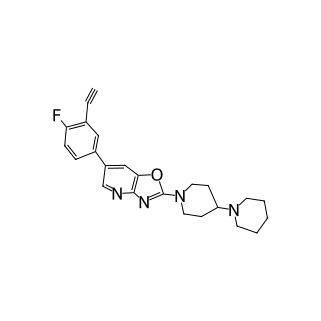 C#Cc1cc(-c2cnc3nc(N4CCC(N5CCCCC5)CC4)oc3c2)ccc1F